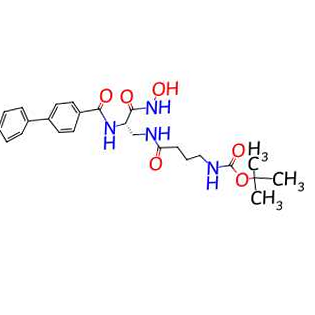 CC(C)(C)OC(=O)NCCCC(=O)NC[C@H](NC(=O)c1ccc(-c2ccccc2)cc1)C(=O)NO